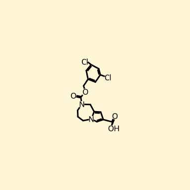 O=C(O)c1cc2n(c1)CCCN(C(=O)OCc1cc(Cl)cc(Cl)c1)C2